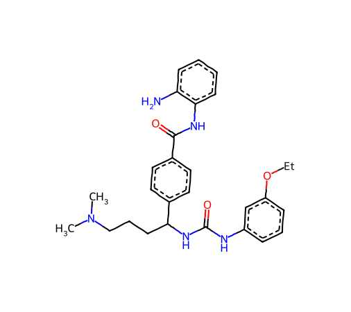 CCOc1cccc(NC(=O)NC(CCCN(C)C)c2ccc(C(=O)Nc3ccccc3N)cc2)c1